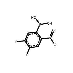 O=[N+]([O-])c1cc(F)c(F)cc1B(O)O